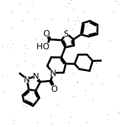 CC1CCC(C2=C(c3cc(-c4ccccc4)sc3C(=O)O)CCN(C(=O)c3nn(C)c4ccccc34)C2)CC1